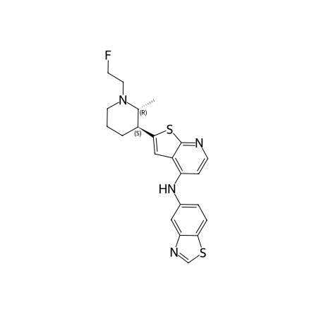 C[C@@H]1[C@@H](c2cc3c(Nc4ccc5scnc5c4)ccnc3s2)CCCN1CCF